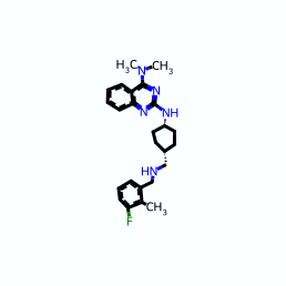 Cc1c(F)cccc1CNC[C@H]1CC[C@@H](Nc2nc(N(C)C)c3ccccc3n2)CC1